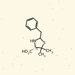 CC1(C)SC(Cc2ccccc2)N[C@H]1C(=O)O